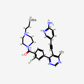 CCc1ncnc(-c2ccc(C(=O)N3CCN(CCOC)CC3)c(F)c2)c1C#Cc1ccc(N)nc1